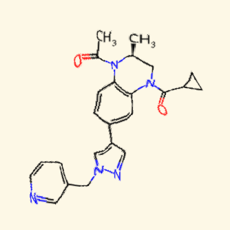 CC(=O)N1c2ccc(-c3cnn(Cc4cccnc4)c3)cc2N(C(=O)C2CC2)C[C@@H]1C